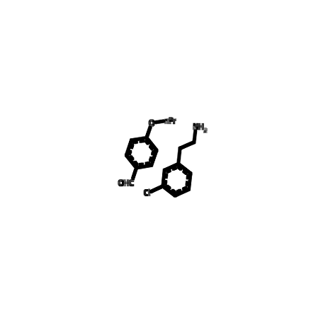 CCCOc1ccc(C=O)cc1.NCCc1cccc(Cl)c1